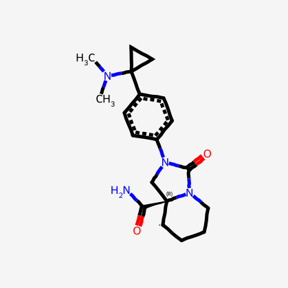 CN(C)C1(c2ccc(N3C[C@@]4(C(N)=O)[CH]CCCN4C3=O)cc2)CC1